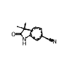 CC1(C)C(=O)Nc2cc(C#N)ccc21